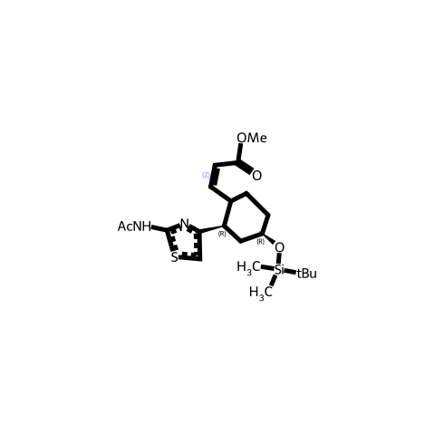 COC(=O)/C=C\C1CC[C@@H](O[Si](C)(C)C(C)(C)C)C[C@H]1c1csc(NC(C)=O)n1